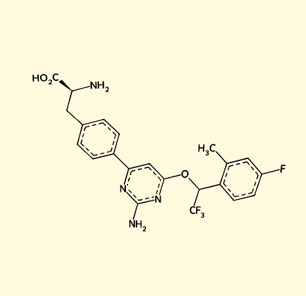 Cc1cc(F)ccc1C(Oc1cc(-c2ccc(C[C@H](N)C(=O)O)cc2)nc(N)n1)C(F)(F)F